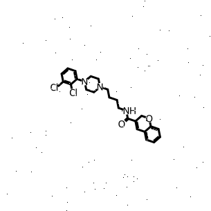 O=C(NCCCCN1CCN(c2cccc(Cl)c2Cl)CC1)C1=Cc2ccccc2OC1